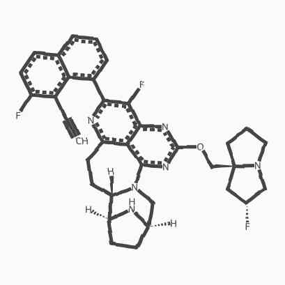 C#Cc1c(F)ccc2cccc(-c3nc4c5c(nc(OC[C@@]67CCCN6C[C@H](F)C7)nc5c3F)N3C[C@H]5CC[C@H](N5)[C@@H]3CC4)c12